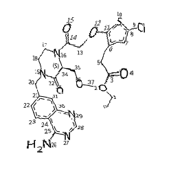 CCOC(=O)Cc1cc(Cl)sc1OCC(=O)N1CCN(Cc2ccc3c(N)ncnc3c2)C(=O)[C@@H]1COC